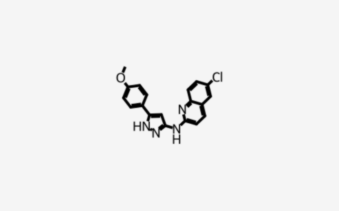 COc1ccc(-c2cc(Nc3ccc4cc(Cl)ccc4n3)n[nH]2)cc1